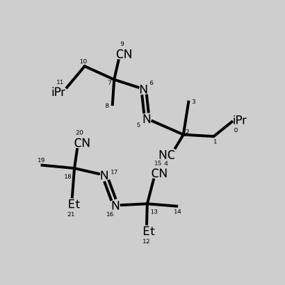 CC(C)CC(C)(C#N)/N=N/C(C)(C#N)CC(C)C.CCC(C)(C#N)/N=N/C(C)(C#N)CC